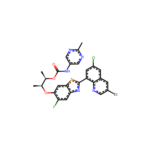 CCc1cnc2c(-c3nc4cc(F)c(O[C@@H](C)[C@@H](C)OC(=O)Nc5cnc(C)nc5)cc4s3)cc(Cl)cc2c1